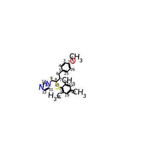 COc1ccc(CCC(Cn2ccnc2)Sc2c(C)cc(C)cc2C)cc1